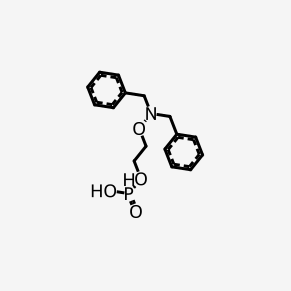 O=[PH](O)OCCON(Cc1ccccc1)Cc1ccccc1